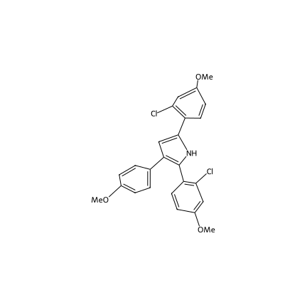 COc1ccc(-c2cc(-c3ccc(OC)cc3Cl)[nH]c2-c2ccc(OC)cc2Cl)cc1